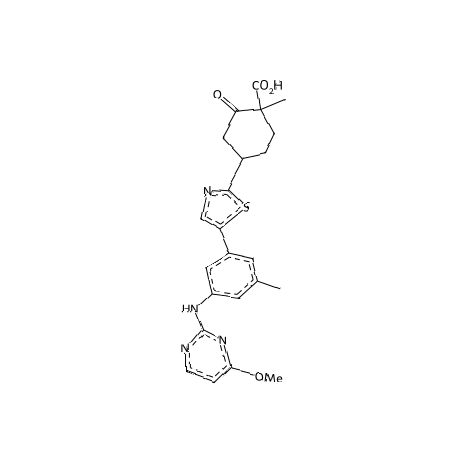 COc1ccnc(Nc2cc(C)cc(-c3cnc(C4CCC(C)(C(=O)O)C(=O)C4)s3)c2)n1